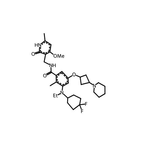 CCN(c1cc(OC2CC(N3CCCCC3)C2)cc(C(=O)NCc2c(OC)cc(C)[nH]c2=O)c1C)C1CCC(F)(F)CC1